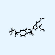 COCCN1C[C@@H](N2CC3CN(C(=O)OC(C)(C)C)CCN3C2=O)C[C@@H]1C(=O)OC